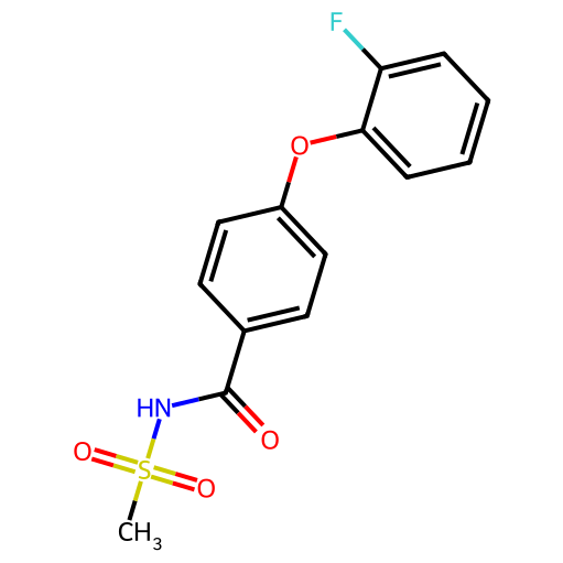 CS(=O)(=O)NC(=O)c1ccc(Oc2ccccc2F)cc1